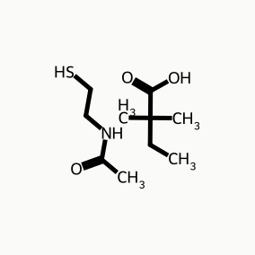 CC(=O)NCCS.CCC(C)(C)C(=O)O